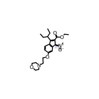 CCOC(=O)C1=C(C(CC)CC)c2ccc(OCCN3CCOCC3)cc2/C1=[N+](/C)[O-]